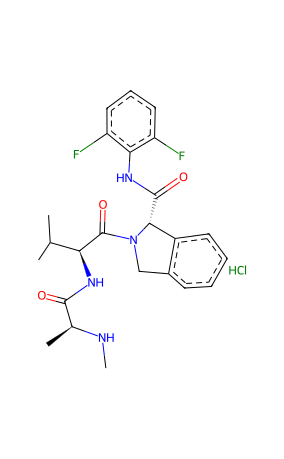 CN[C@@H](C)C(=O)N[C@H](C(=O)N1Cc2ccccc2[C@H]1C(=O)Nc1c(F)cccc1F)C(C)C.Cl